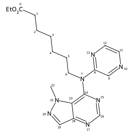 CCOC(=O)CCCCCCN(c1cnccn1)c1ncnc2cnn(C)c12